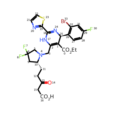 CCOC(=O)C1=C(CN2CC(F)(F)C[C@H]2CCC(=O)CC(=O)O)NC(c2nccs2)=N[C@H]1c1ccc(F)cc1Br